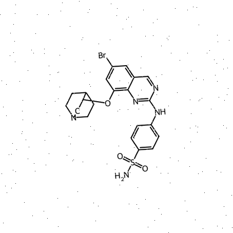 NS(=O)(=O)c1ccc(Nc2ncc3cc(Br)cc(OC4CN5CCC4CC5)c3n2)cc1